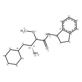 COC(C(=O)NC1CCc2ccccc21)[C@H](N)CC1CCCCC1